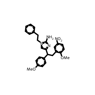 COc1ccc(C(Cc2cc([N+](=O)[O-])ccc2OC)c2cn(CCc3ccccc3)c(N)n2)cc1